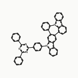 c1ccc(-c2nc(-c3ccccc3)nc(-c3ccc(-n4c5ccccc5c5cc6c(cc54)-c4ccccc4-n4c5ccccc5c5cccc-6c54)cc3)n2)cc1